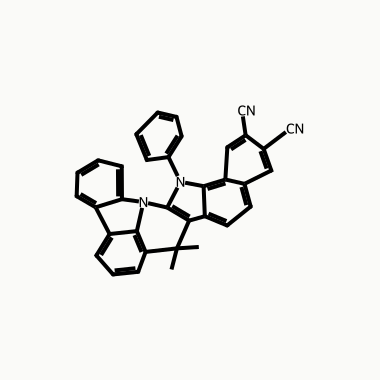 CC1(C)c2c(n(-c3ccccc3)c3c2ccc2cc(C#N)c(C#N)cc23)-n2c3ccccc3c3cccc1c32